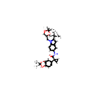 CC1(C)Oc2ccc(C3(C(=O)Nc4ccc5c(c4)cc(C(C)(C)C)n5CC4COC(C)(C)O4)CC3)cc2O1